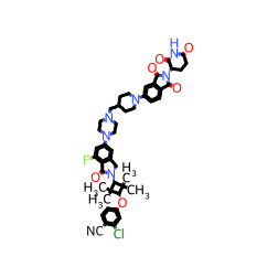 CC1(C)[C@H](Oc2ccc(C#N)c(Cl)c2)C(C)(C)[C@H]1N1Cc2cc(N3CCN(CC4CCN(c5ccc6c(c5)C(=O)N(C5CCC(=O)NC5=O)C6=O)CC4)CC3)cc(F)c2C1=O